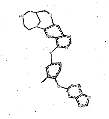 Cc1cc(Nc2ncnc3cc4c(nc23)N2CCNCC(CO4)C2)ccc1Oc1ccn2ncnc2c1